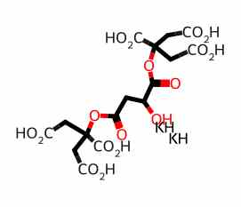 O=C(O)CC(CC(=O)O)(OC(=O)CC(O)C(=O)OC(CC(=O)O)(CC(=O)O)C(=O)O)C(=O)O.[KH].[KH]